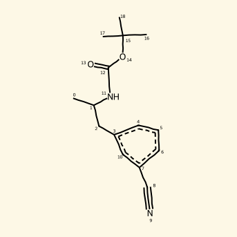 CC(Cc1cccc(C#N)c1)NC(=O)OC(C)(C)C